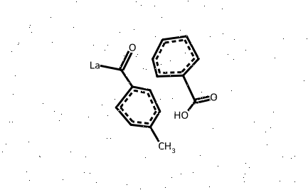 Cc1ccc([C](=O)[La])cc1.O=C(O)c1ccccc1